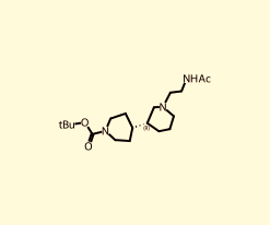 CC(=O)NCCN1CCC[C@H](C2CCN(C(=O)OC(C)(C)C)CC2)C1